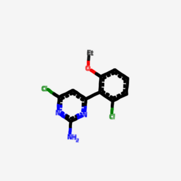 CCOc1cccc(Cl)c1-c1cc(Cl)nc(N)n1